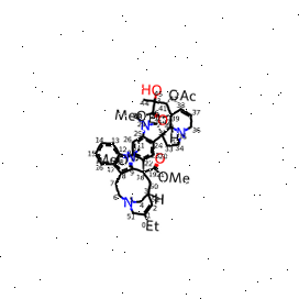 CCC1=C[C@@H]2CN(CCc3c(n(C)c4ccccc34)[C@@](C(=O)OC)(c3cc4c(cc3OC)N(C)C[C@]43CCN4CC=C[C@@](CC)([C@@H](OC(C)=O)C(C)(O)C(=O)OC)[C@H]43)C2)C1